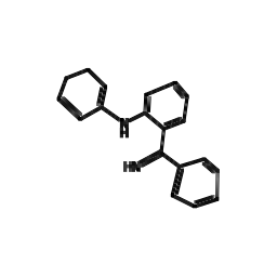 N=C(c1ccccc1)c1ccccc1NC1=CCCC=C1